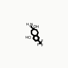 Cl.NCC1(O)CCc2ccc(C(F)(F)F)cc2CC1